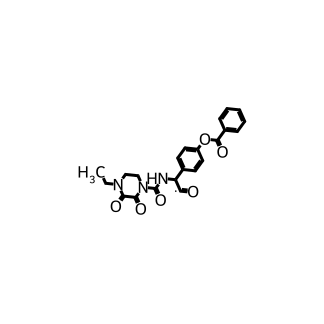 CCN1CCN(C(=O)NC([C]=O)c2ccc(OC(=O)c3ccccc3)cc2)C(=O)C1=O